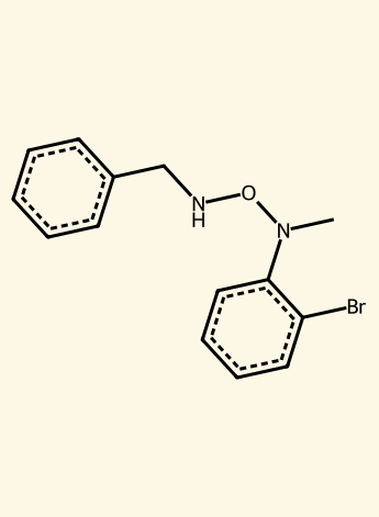 CN(ONCc1ccccc1)c1ccccc1Br